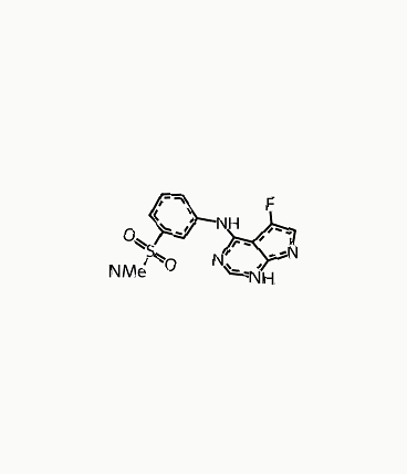 CNS(=O)(=O)c1cccc(Nc2nc[nH]c3ncc(F)c2-3)c1